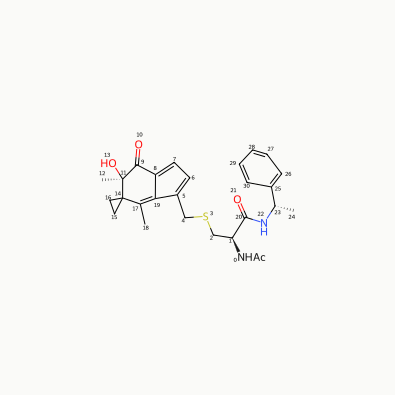 CC(=O)N[C@@H](CSCC1=CC=C2C(=O)[C@](C)(O)C3(CC3)C(C)=C12)C(=O)N[C@@H](C)c1ccccc1